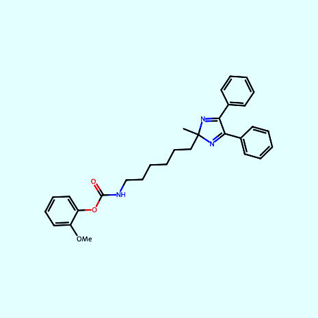 COc1ccccc1OC(=O)NCCCCCCC1(C)N=C(c2ccccc2)C(c2ccccc2)=N1